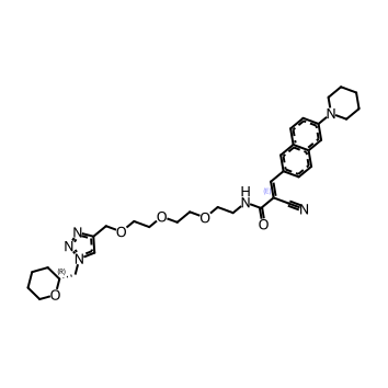 N#C/C(=C\c1ccc2cc(N3CCCCC3)ccc2c1)C(=O)NCCOCCOCCOCc1cn(C[C@H]2CCCCO2)nn1